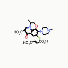 C[C@H]1COc2c(N3CCN(C)CC3)c(F)cc3c(=O)c(C(=O)O)cn1c23.O=C(O)/C=C/C(=O)O